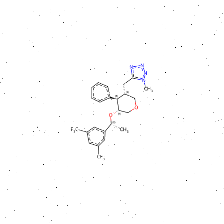 C[C@@H](O[C@H]1COC[C@@H](Cc2nnnn2C)[C@@H]1c1ccccc1)c1cc(C(F)(F)F)cc(C(F)(F)F)c1